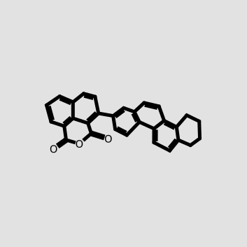 O=C1OC(=O)c2c(-c3ccc4c(ccc5c6c(ccc54)CCCC6)c3)ccc3cccc1c23